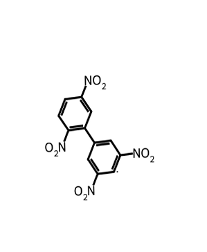 O=[N+]([O-])c1[c]c([N+](=O)[O-])cc(-c2cc([N+](=O)[O-])ccc2[N+](=O)[O-])c1